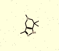 Cc1n[nH]c2c1CN(C)CC2(C)C